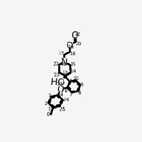 Cc1ccc(Oc2ccccc2C2(O)CCN(CCOC=O)CC2)cc1